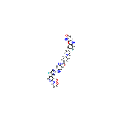 O=C1CCC(Nc2ccc(C3CCN([C@H]4CC[C@H](C(=O)NC5CCC(Nc6ncc(F)c(-c7ccnc(N8CCCOC8=O)c7)n6)CC5)CC4)CC3)c(F)c2)C(=O)N1